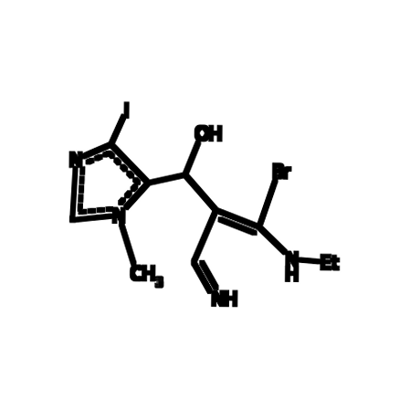 CCN/C(Br)=C(\C=N)C(O)c1c(I)ncn1C